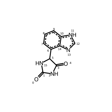 O=C1NC(=O)C(c2cccc3[nH][c]nc23)N1